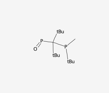 CP(C(C)(C)C)C(P=O)(C(C)(C)C)C(C)(C)C